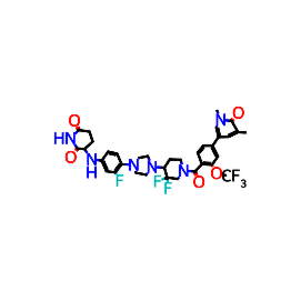 Cc1cc(-c2ccc(C(=O)N3CCC(N4CCN(c5ccc(NC6CCC(=O)NC6=O)cc5F)CC4)C(F)(F)C3)c(OC(F)(F)F)c2)cn(C)c1=O